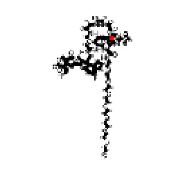 CC[C@@]1(O)C(=O)OCc2c1cc1n(c2=O)Cc2c-1nc1cc(F)c3c(c1c2CNC(=O)COCNC(=O)[C@H](C)NC(=O)[C@H](C)NC(=O)[C@H](C)NC(=O)CC[C@H](NC(=O)CCCC#Cc1cnc(S(C)(=O)=O)nc1)C(=O)NCCOCCOCCOCCOCCOCCOCCOCCOC)CCC3